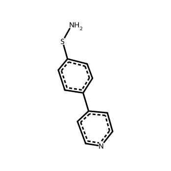 NSc1ccc(-c2ccncc2)cc1